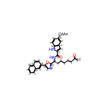 CCC(=O)CCCCC[C@H](NC(=O)c1cc2cc(OC)ccc2[nH]1)c1ncc(-c2ccc3ccccc3c2)o1